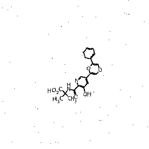 CC(C)(NC(=O)c1ncc(C2=COC=C(C3=CC=CCC3)O2)cc1O)C(=O)O